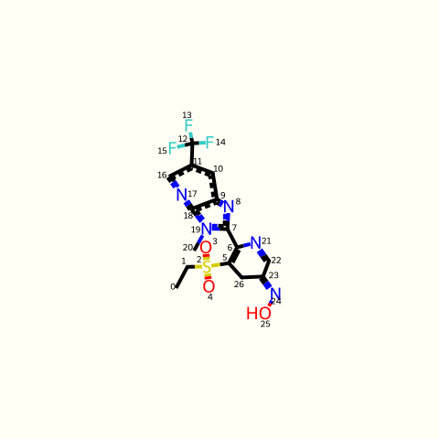 CCS(=O)(=O)C1=C(c2nc3cc(C(F)(F)F)cnc3n2C)N=CC(=NO)C1